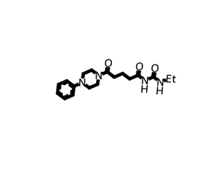 CCNC(=O)NC(=O)CCCC(=O)N1CCN(c2ccccc2)CC1